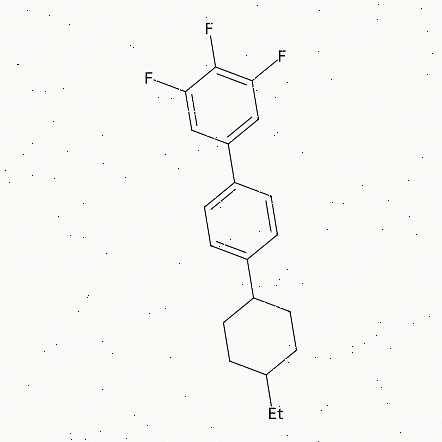 CCC1CCC(c2ccc(-c3cc(F)c(F)c(F)c3)cc2)CC1